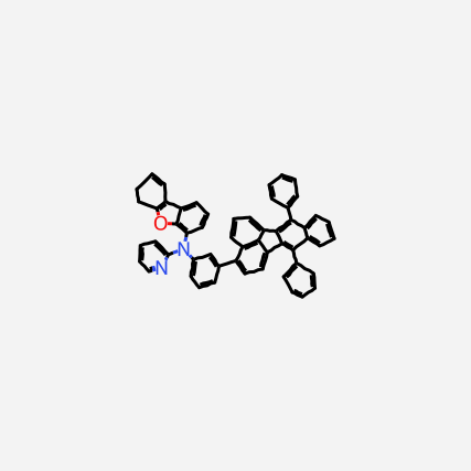 C1=Cc2c(oc3c(N(c4cccc(-c5ccc6c7c(cccc57)-c5c-6c(-c6ccccc6)c6ccccc6c5-c5ccccc5)c4)c4ccccn4)cccc23)CC1